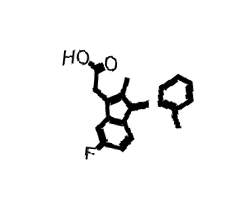 C=C1C(C)=C(CC(=O)O)c2cc(F)ccc21.Cc1ccccc1